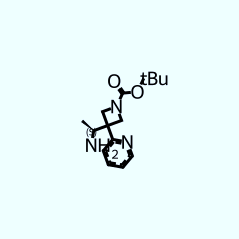 C[C@H](N)C1(c2ccccn2)CN(C(=O)OC(C)(C)C)C1